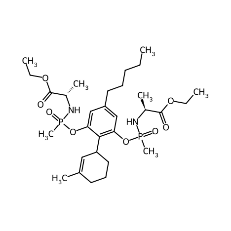 CCCCCc1cc(OP(C)(=O)N[C@@H](C)C(=O)OCC)c(C2C=C(C)CCC2)c(OP(C)(=O)N[C@@H](C)C(=O)OCC)c1